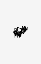 CCCc1c(Cn2ccnc2-c2ncccc2F)ncc2cncnc12